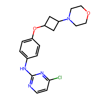 Clc1ccnc(Nc2ccc(OC3CC(N4CCOCC4)C3)cc2)n1